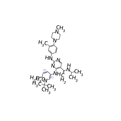 C=C/C=C\C(=C/N(C)C(C)(C)C)Nc1nc(Nc2ccc(N3CCN(C)CC3)c(C)c2)ncc1C(=C)NC(C)C